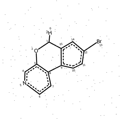 [2H]C1Oc2cnccc2-c2ccc(Br)cc21